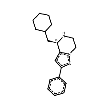 c1ccc(-c2cc3n(n2)CCN[C@@H]3CC2CCCCC2)cc1